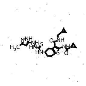 Cc1cc(NNC(=S)N[C@H]2CCc3sc(NC(=O)C4CC4)c(C(=O)NCC4CC4)c3C2)[nH]n1